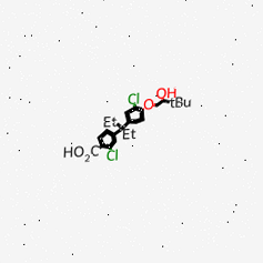 CCC(CC)(c1ccc(OCC(O)C(C)(C)C)c(Cl)c1)c1ccc(C(=O)O)c(Cl)c1